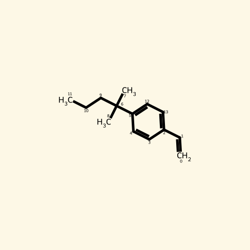 C=Cc1ccc(C(C)(C)CCC)cc1